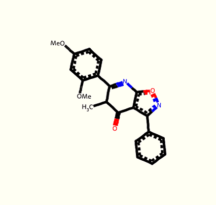 COc1ccc(C2=Nc3onc(-c4ccccc4)c3C(=O)C2C)c(OC)c1